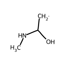 [CH2]C(O)NC